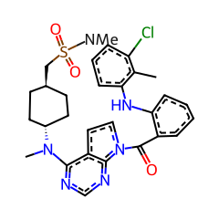 CNS(=O)(=O)C[C@H]1CC[C@H](N(C)c2ncnc3c2ccn3C(=O)c2ccccc2Nc2cccc(Cl)c2C)CC1